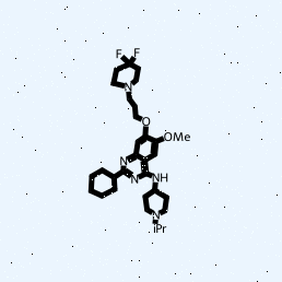 COc1cc2c(NC3CCN(C(C)C)CC3)nc(C3CCCCC3)nc2cc1OCCCN1CCC(F)(F)CC1